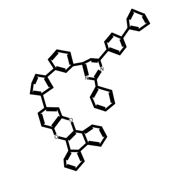 c1ccc(-c2ccc(-c3cc(-c4cccc(-c5cccc(-c6ccc7c(c6)Oc6c(c8ccccc8c8ccccc68)O7)c5)c4)nc(-c4ccccc4)n3)cc2)cc1